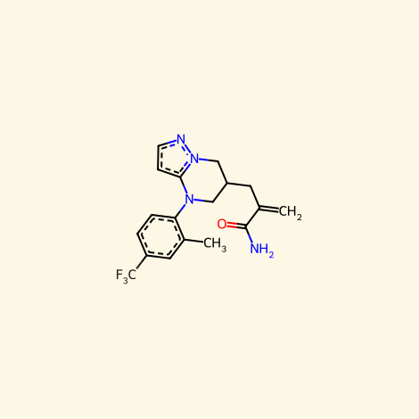 C=C(CC1CN(c2ccc(C(F)(F)F)cc2C)c2ccnn2C1)C(N)=O